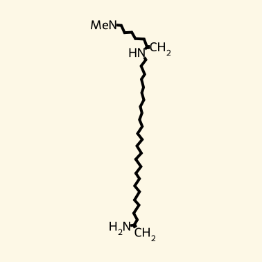 C=C(N)CCCCCCCCCCCCCCCCCCCCCCCCCNC(=C)CCCCCNC